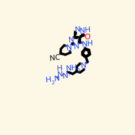 N#CC1CCN(c2nc(Nc3ccc(CN4CCC(C/C(N)=N/NN)CC4)cc3)c3c(=O)[nH]ncc3n2)CC1